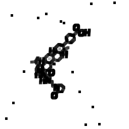 C=C(C)[C@@H]1CC[C@]2(NC(=O)NCCN3CCCC3=O)CC[C@]3(C)[C@H](CC[C@@H]4[C@@]5(C)CC=C(c6ccc(C(=O)O)cc6)C(C)(C)[C@@H]5CC[C@]43C)[C@@H]12